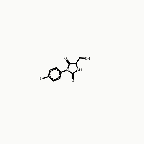 O=C1NC(CO)C(=O)N1c1ccc(Br)cc1